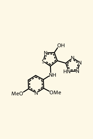 COc1ccc(Nc2snc(O)c2-c2nnn[nH]2)c(OC)n1